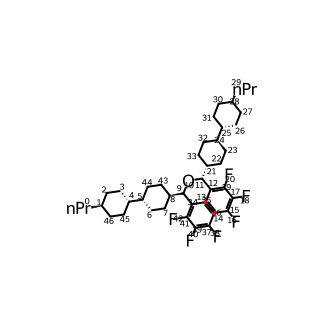 CCC[C@H]1CC[C@H]([C@H]2CC[C@H](C(OC(c3ccc(F)c(F)c3F)[C@H]3CC[C@H]([C@H]4CC[C@H](CCC)CC4)CC3)c3ccc(F)c(F)c3F)CC2)CC1